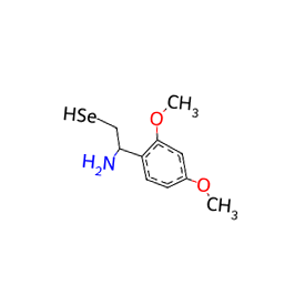 COc1ccc(C(N)C[SeH])c(OC)c1